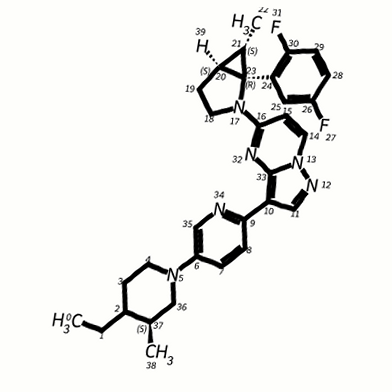 CCC1CCN(c2ccc(-c3cnn4ccc(N5CC[C@H]6[C@H](C)[C@]65c5cc(F)ccc5F)nc34)nc2)C[C@H]1C